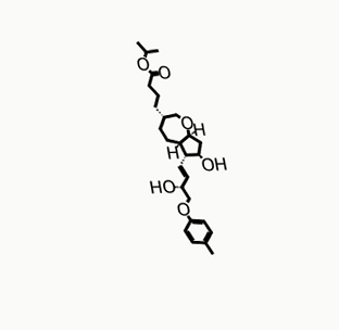 Cc1ccc(OC[C@H](O)C=C[C@@H]2[C@H]3CC[C@H](CCCC(=O)OC(C)C)CO[C@H]3C[C@H]2O)cc1